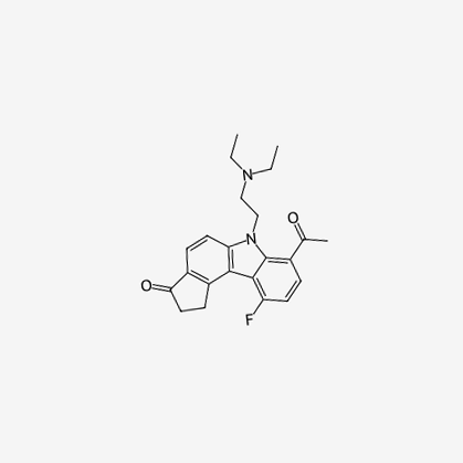 CCN(CC)CCn1c2ccc3c(c2c2c(F)ccc(C(C)=O)c21)CCC3=O